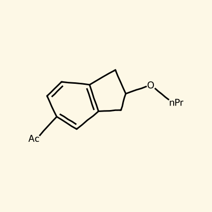 CCCOC1Cc2ccc(C(C)=O)cc2C1